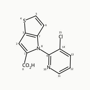 O=C(O)c1cc2sccc2n1-c1ncccc1Cl